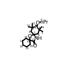 CCCON1C(C)(C)CC2(CC1(C)C)NC(=O)C1(CCCCC1)O2